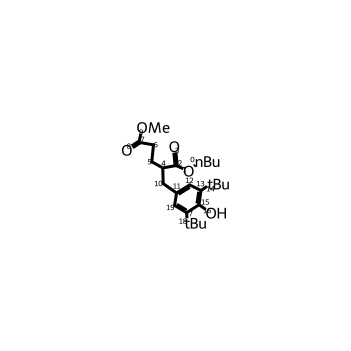 CCCCOC(=O)C(CCC(=O)OC)Cc1cc(C(C)(C)C)c(O)c(C(C)(C)C)c1